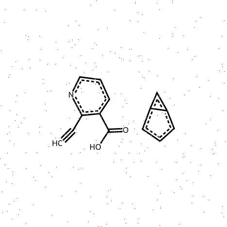 C#Cc1ncccc1C(=O)O.c1cc2cc-2c1